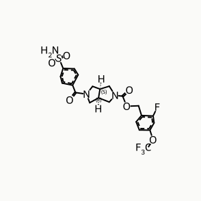 NS(=O)(=O)c1ccc(C(=O)N2C[C@H]3CN(C(=O)OCc4ccc(OC(F)(F)F)cc4F)C[C@H]3C2)cc1